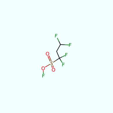 O=S(=O)(OF)C(F)(F)CC(F)F